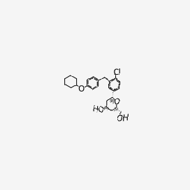 OC[C@@H]1C[C@H](O)C[C@H](c2ccc(Cl)c(Cc3ccc(OC4CCCCC4)cc3)c2)O1